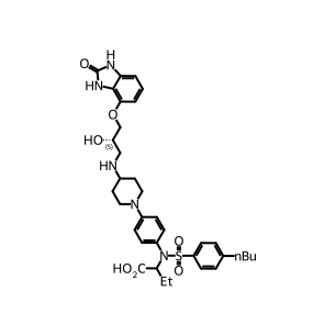 CCCCc1ccc(S(=O)(=O)N(c2ccc(N3CCC(NC[C@H](O)COc4cccc5[nH]c(=O)[nH]c45)CC3)cc2)C(CC)C(=O)O)cc1